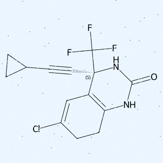 O=C1NC2=C(C=C(Cl)CC2)[C@@](C#CC2CC2)(C(F)(F)F)N1